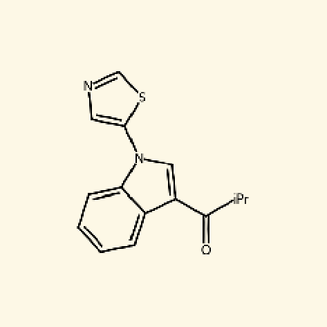 CC(C)C(=O)c1cn(-c2cncs2)c2ccccc12